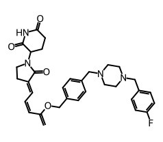 C=C(/C=C\C=C1/CCN(C2CCC(=O)NC2=O)C1=O)OCc1ccc(CN2CCN(Cc3ccc(F)cc3)CC2)cc1